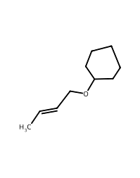 CC=CCOC1CCCCC1